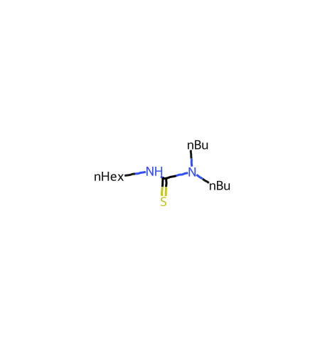 CCCCCCNC(=S)N(CCCC)CCCC